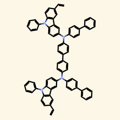 C=Cc1ccc2c(c1)c1cc(N(c3ccc(-c4ccccc4)cc3)c3ccc(-c4ccc(N(c5ccc(-c6ccccc6)cc5)c5ccc6c(c5)c5cc(C=C)ccc5n6-c5ccccc5)cc4)cc3)ccc1n2-c1ccccc1